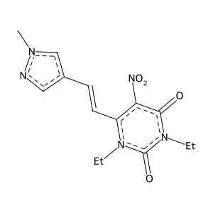 CCn1c(C=Cc2cnn(C)c2)c([N+](=O)[O-])c(=O)n(CC)c1=O